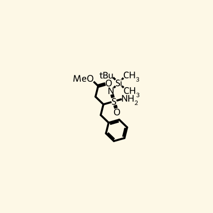 COC(=O)CC(Cc1ccccc1)S(N)(=O)=N[Si](C)(C)C(C)(C)C